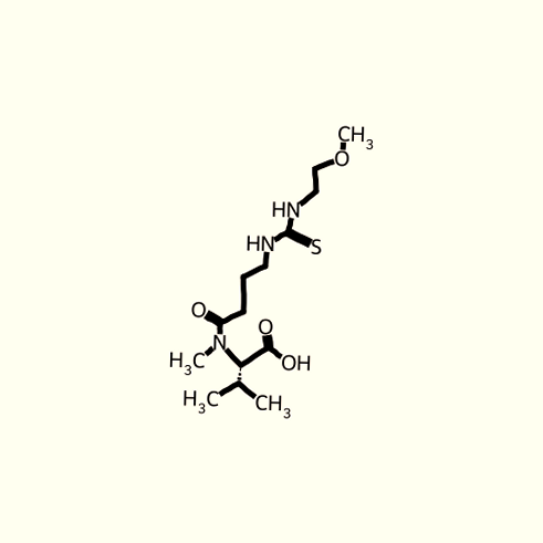 COCCNC(=S)NCCCC(=O)N(C)[C@H](C(=O)O)C(C)C